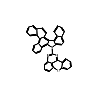 c1ccc2c(c1)Oc1cccc3nc(-n4c5ccc6ccccc6c5c5c6ccc7ccccc7c6c6ccccc6c54)nc-2c13